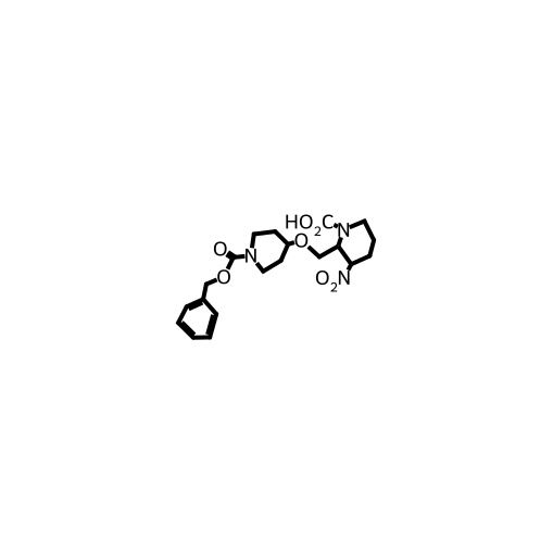 O=C(OCc1ccccc1)N1CCC(OCC2C([N+](=O)[O-])CCCN2C(=O)O)CC1